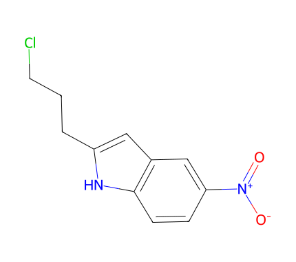 O=[N+]([O-])c1ccc2[nH]c(CCCCl)cc2c1